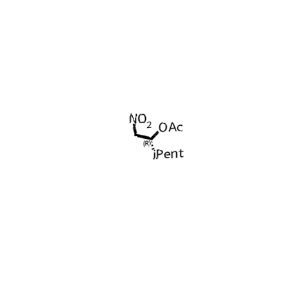 CCCC(C)[C@H](C[N+](=O)[O-])OC(C)=O